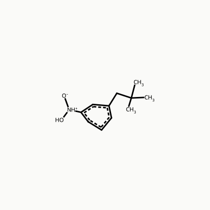 CC(C)(C)Cc1cccc([NH+]([O-])O)c1